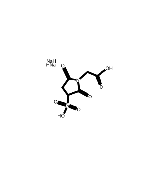 O=C(O)CN1C(=O)CC(S(=O)(=O)O)C1=O.[NaH].[NaH]